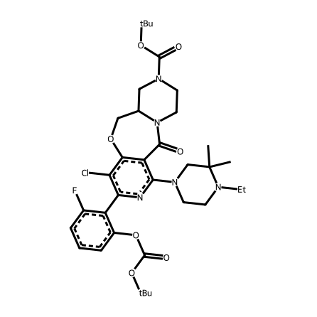 CCN1CCN(c2nc(-c3c(F)cccc3OC(=O)OC(C)(C)C)c(Cl)c3c2C(=O)N2CCN(C(=O)OC(C)(C)C)CC2CO3)CC1(C)C